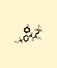 CC(/C=C/S(C)(=O)=O)NC(=O)N1CC[C@H](C(C)(F)F)C[C@@H]1c1ccc(Cl)cc1